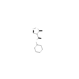 O=C1ON=CC1C(=O)OC1CCCCC1